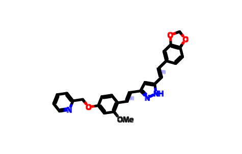 COc1cc(OCc2ccccn2)ccc1/C=C/c1cc(/C=C/c2ccc3c(c2)OCO3)[nH]n1